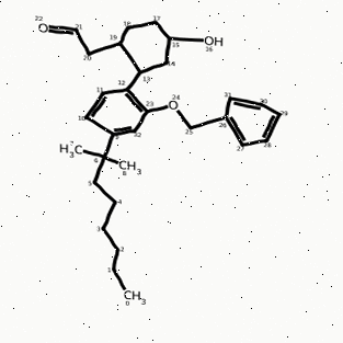 CCCCCCC(C)(C)c1ccc(C2CC(O)CCC2CC=O)c(OCc2ccccc2)c1